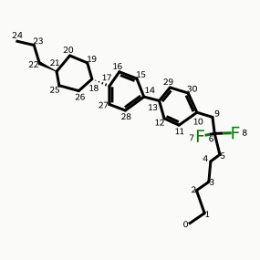 CCCCCCC(F)(F)Cc1ccc(-c2ccc([C@H]3CC[C@H](CCC)CC3)cc2)cc1